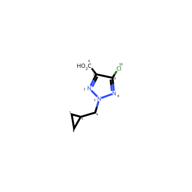 O=C(O)c1nn(CC2CC2)nc1Cl